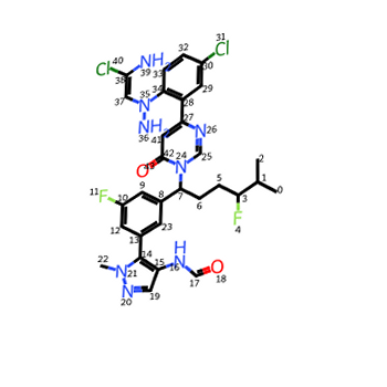 CC(C)C(F)CCC(c1cc(F)cc(-c2c(NC=O)cnn2C)c1)n1cnc(-c2cc(Cl)ccc2N(N)/C=C(\N)Cl)cc1=O